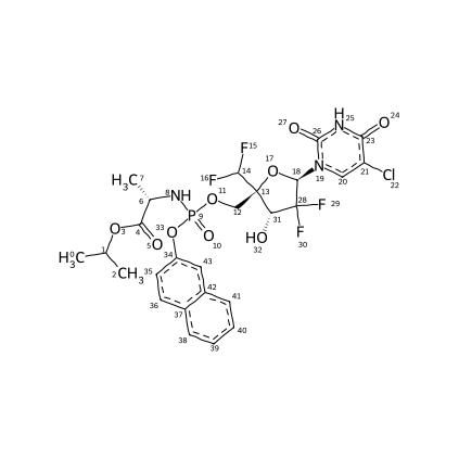 CC(C)OC(=O)[C@H](C)NP(=O)(OC[C@@]1(C(F)F)O[C@@H](n2cc(Cl)c(=O)[nH]c2=O)C(F)(F)[C@@H]1O)Oc1ccc2ccccc2c1